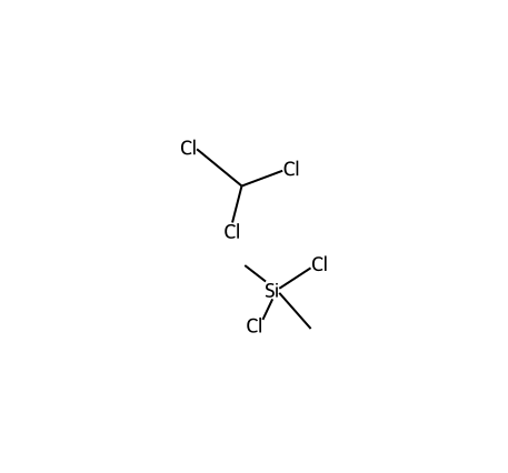 C[Si](C)(Cl)Cl.ClC(Cl)Cl